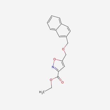 CCOC(=O)c1cc(COCc2ccc3ccccc3c2)on1